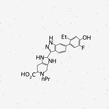 CCCN1CC2=C(CC1C(=O)O)NC(c1n[nH]c3cc(-c4cc(F)c(O)cc4CC)ccc13)N2